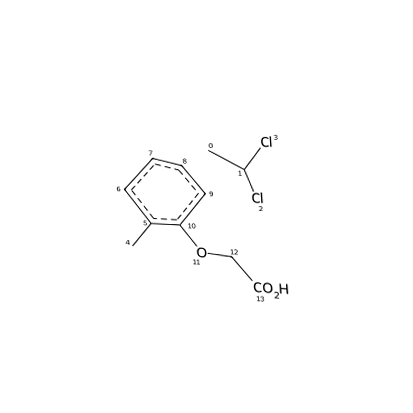 CC(Cl)Cl.Cc1ccccc1OCC(=O)O